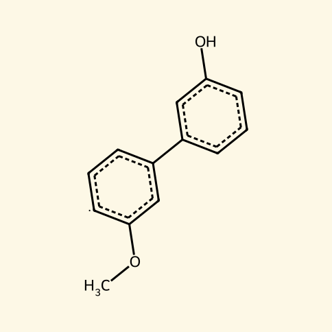 COc1[c]ccc(-c2cccc(O)c2)c1